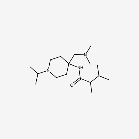 CC(C)C(C)C(=O)NC1(CN(C)C)CCN(C(C)C)CC1